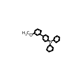 COc1cccc(-c2ccc(N(c3ccccc3)c3ccccc3)cc2)c1